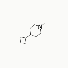 CN1CCC(C2CCC2)CC1